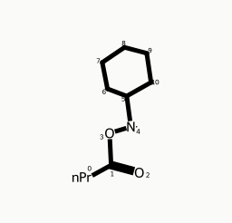 CCCC(=O)O[N]C1CCCCC1